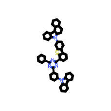 c1ccc(-c2nc(-c3cccc(-n4c5ccccc5c5ccccc54)c3)nc(-c3cccc4c3sc3cc(-n5c6ccccc6c6c7ccccc7ccc65)ccc34)n2)cc1